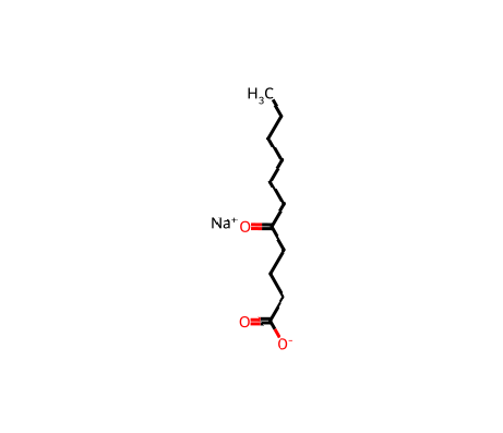 CCCCCCC(=O)CCCC(=O)[O-].[Na+]